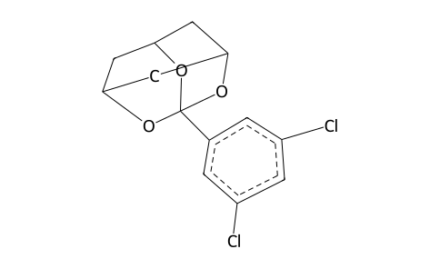 Clc1cc(Cl)cc(C23OC4CC(CC(C4)O2)O3)c1